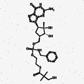 CC(C)(CO)C(=O)SCCOP(=O)(NCc1ccccc1)OC[C@H]1C[C@@H](n2cnc3c(=O)[nH]c(N)nc32)[C@](C)(O)[C@@H]1O